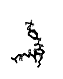 CCCCn1cc(NC(=O)Nc2ccc(OC(F)(F)F)cc2)nc1C(=O)NCCNCC(C)C